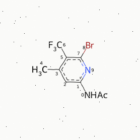 CC(=O)Nc1cc(C)c(C(F)(F)F)c(Br)n1